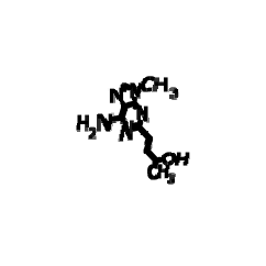 CC(O)CCc1nc(N)c2ncn(C)c2n1